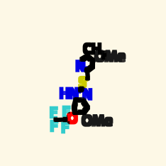 COc1cc(CSc2nc3cc(OC)c(OC(F)(F)C(F)F)cc3[nH]2)ncc1C